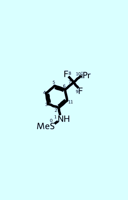 CSNc1cccc(C(F)(F)C(C)C)c1